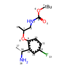 CC(CNC(=O)OC(C)(C)C)Oc1ccc(F)cc1[C@@H](C)N